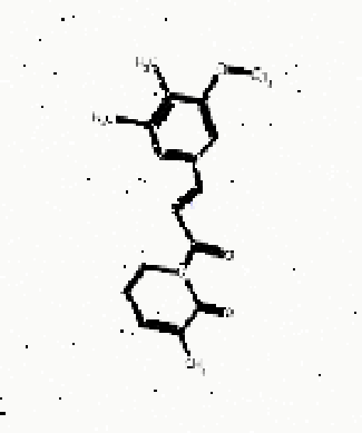 COc1cc(/C=C/C(=O)N2CCC=C(C)C2=O)cc(C)c1C